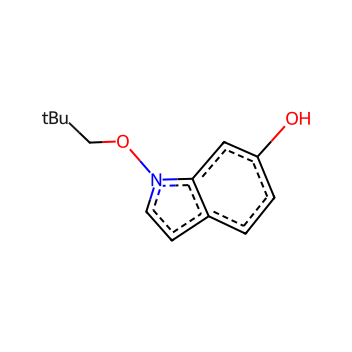 CC(C)(C)COn1ccc2ccc(O)cc21